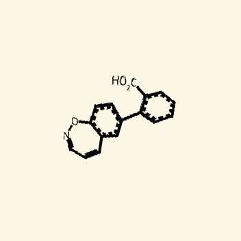 O=C(O)c1ccccc1-c1ccc2c(c1)C=CC=NO2